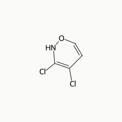 ClC1=C(Cl)NOC=C1